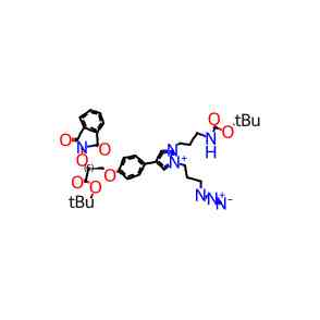 CC(C)(C)OC(=O)NCCCn1cc(-c2ccc(OC[C@H](ON3C(=O)c4ccccc4C3=O)C(=O)OC(C)(C)C)cc2)c[n+]1CCCN=[N+]=[N-]